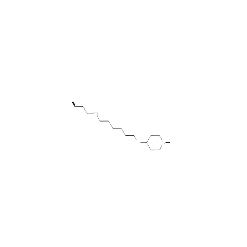 C=CCCNCCCCCCOC1CCN(S(=O)(=O)O)CC1